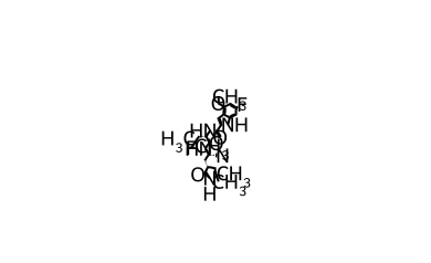 COc1cc(F)cc2[nH]c(C(=O)N[C@@H](CC(C)(C)F)C(=O)N[C@H](C#N)C[C@@H]3CC(C)(C)NC3=O)cc12